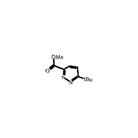 COC(=O)c1ccc(C(C)(C)C)nn1